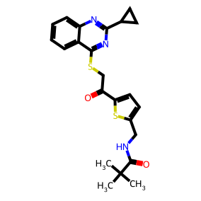 CC(C)(C)C(=O)NCc1ccc(C(=O)CSc2nc(C3CC3)nc3ccccc23)s1